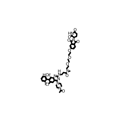 CC(=O)N1CCN(c2nc(NCCC(=O)N(C)CCOCCOCCOc3ccc4c(c3)C(=O)N(C3CCC(=O)NC3=O)C4=O)nc3c(F)c(-c4c(O)cccc4F)c(Cl)cc23)CC1